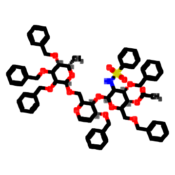 CC(=O)O[C@@H]1C(COCc2ccccc2)O[C@@H](O[C@@H]2C(CO[C@@H]3O[C@@H](C)[C@@H](OCc4ccccc4)C(OCc4ccccc4)C3OCc3ccccc3)OC=C[C@H]2OCc2ccccc2)C(NS(=O)(=O)c2ccccc2)[C@@H]1OCc1ccccc1